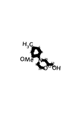 COc1cc(C)ccc1N1CCOC(CO)C1